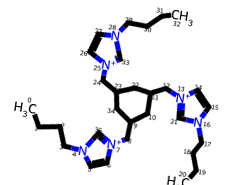 CCCCn1cc[n+](CC2CC(C[n+]3ccn(CCCC)c3)CC(C[n+]3ccn(CCCC)c3)C2)c1